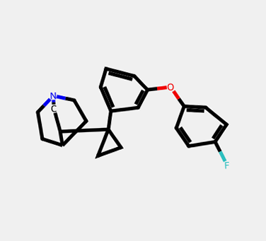 Fc1ccc(Oc2cccc(C3(C4CN5CCC4CC5)CC3)c2)cc1